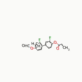 C=CC(=O)Oc1ccc(C(/C=C\C(=C)OC=O)=C(/C)F)cc1F